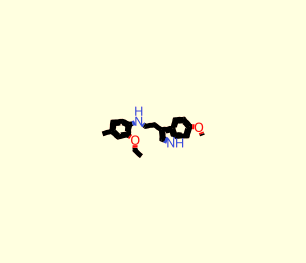 CCOc1cc(C)ccc1NCCc1c[nH]c2cc(OC)ccc12